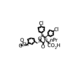 CCC[C@H](C(=O)O)N1C(=O)[C@H](Cc2cccc(C[SH](=O)=O)c2)O[C@@H](c2ccc(Cl)cc2)[C@H]1c1ccc(Cl)cc1